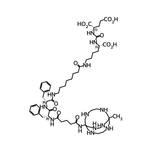 CC12CNCCNCC(NC(=O)CCCC(=O)N[C@H](Cc3ccccc3)C(=O)N[C@H](Cc3ccccc3)C(=O)NCCCCCCCC(=O)NCCCC[C@H](NC(=O)N[C@@H](CCC(=O)O)C(=O)O)C(=O)O)(CNCCNC1)CNCCNC2